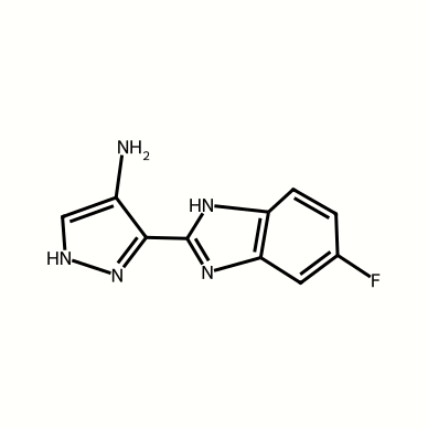 Nc1c[nH]nc1-c1nc2cc(F)ccc2[nH]1